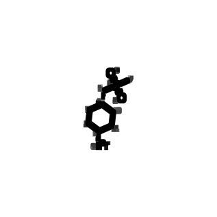 CC(C)[C@H]1CC[C@H](CS(C)(=O)=O)CC1